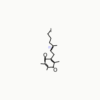 CC1=C(C)C(=O)C(C/C=C(\C)CCCI)=C(C)C1=O